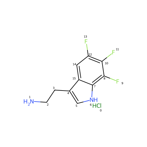 Cl.NCCc1c[nH]c2c(F)c(F)c(F)cc12